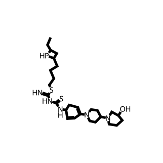 CCC1CC(CCCCSC(=N)NC(=S)NC2C=CC(N3CCC(N4CCCC(O)C4)CC3)=CC2)P1